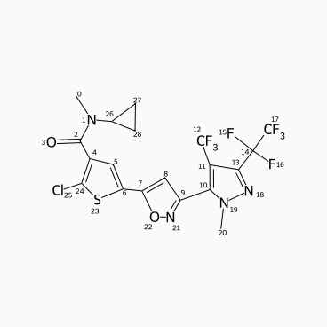 CN(C(=O)c1cc(-c2cc(-c3c(C(F)(F)F)c(C(F)(F)C(F)(F)F)nn3C)no2)sc1Cl)C1CC1